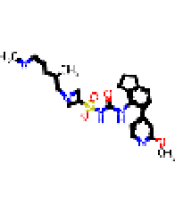 C=N/C=C\C=C(/C)CN1CC(S(=O)(=O)NC(=O)Nc2c(-c3ccnc(OC)c3)ccc3c2CCC3)C1